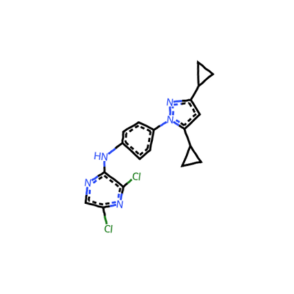 Clc1cnc(Nc2ccc(-n3nc(C4CC4)cc3C3CC3)cc2)c(Cl)n1